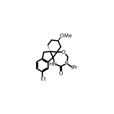 CCc1ccc2c(c1)C13NC(=O)N(C(C)C)COC14C[C@H](OC)CC[C@]43C2